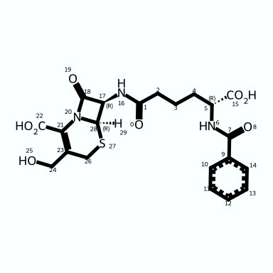 O=C(CCC[C@@H](NC(=O)c1ccccc1)C(=O)O)N[C@@H]1C(=O)N2C(C(=O)O)=C(CO)CS[C@H]12